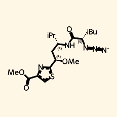 CCC(C)[C@H](N=[N+]=[N-])C(=O)N[C@H](C[C@@H](OC)c1nc(C(=O)OC)cs1)C(C)C